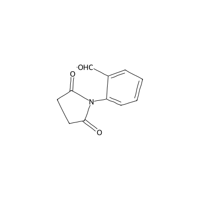 O=[C]c1ccccc1N1C(=O)CCC1=O